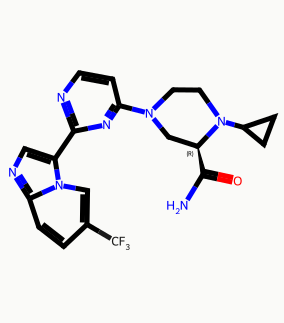 NC(=O)[C@H]1CN(c2ccnc(-c3cnc4ccc(C(F)(F)F)cn34)n2)CCN1C1CC1